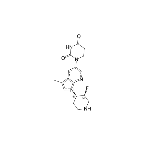 Cc1cn([C@@H]2CCNC[C@@H]2F)c2ncc(N3CCC(=O)NC3=O)cc12